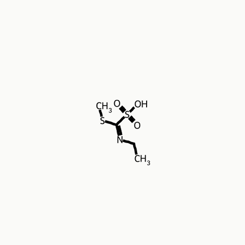 CC/N=C(/SC)S(=O)(=O)O